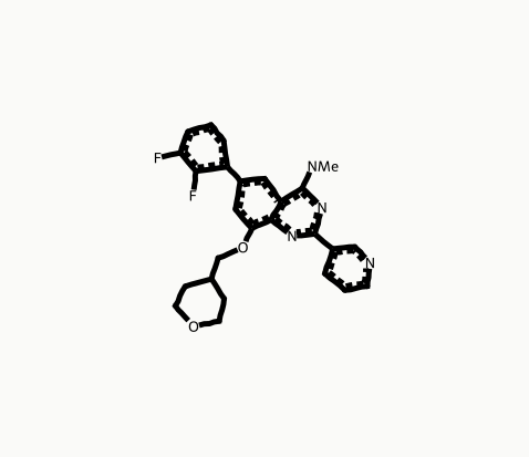 CNc1nc(-c2cccnc2)nc2c(OCC3CCOCC3)cc(-c3cccc(F)c3F)cc12